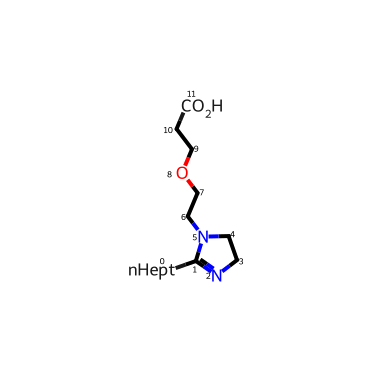 CCCCCCCC1=NCCN1CCOCCC(=O)O